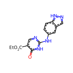 CCOC(=O)c1cnc(Nc2ccc3[nH]ncc3c2)[nH]c1=O